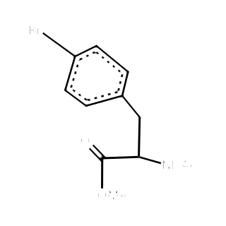 COC(=O)C(Cc1ccc(Br)cc1)NC(C)=O